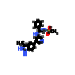 CC1NNc2ccc(-c3cncc(N[C@@H](CNS(C)(=O)=O)c4ccccc4)c3)cc21